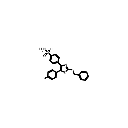 NS(=O)(=O)c1ccc(-c2nc(SCc3ccccc3)sc2-c2ccc(F)cc2)cc1